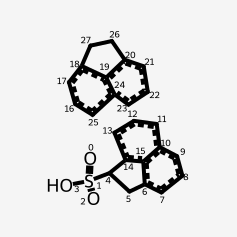 O=S(=O)(O)C1Cc2cccc3cccc1c23.c1cc2c3c(cccc3c1)CC2